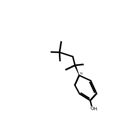 CC(C)(C)CC(C)(C)[C@H]1C=CC(O)=CC1